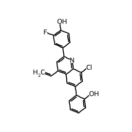 C=Cc1cc(-c2ccc(O)c(F)c2)nc2c(Cl)cc(-c3ccccc3O)cc12